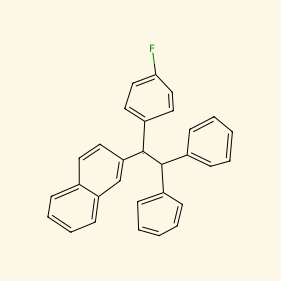 Fc1ccc([C](c2ccc3ccccc3c2)C(c2ccccc2)c2ccccc2)cc1